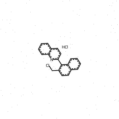 Cl.ClCc1ccc2ccccc2c1-c1ccc2ccccc2n1